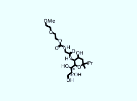 COCCOCCOC(=O)NCC(=O)NC1C(O)CC(C)(C(C)C)OC1[C@H](O)[C@H](O)CO